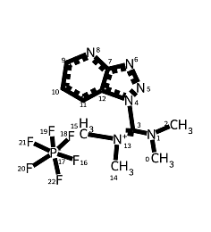 CN(C)C(n1nnc2ncccc21)=[N+](C)C.F[P-](F)(F)(F)(F)F